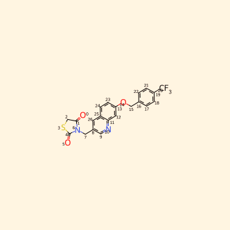 O=C1CSC(=O)N1Cc1cnc2cc(OCc3ccc(C(F)(F)F)cc3)ccc2c1